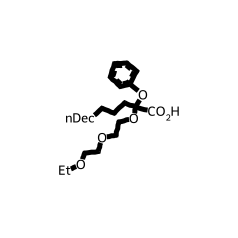 CCCCCCCCCCCCCC(OCCOCCOCC)(Oc1ccccc1)C(=O)O